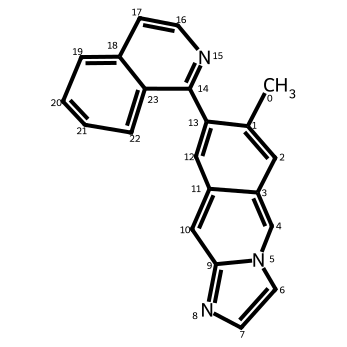 Cc1cc2cn3ccnc3cc2cc1-c1nccc2ccccc12